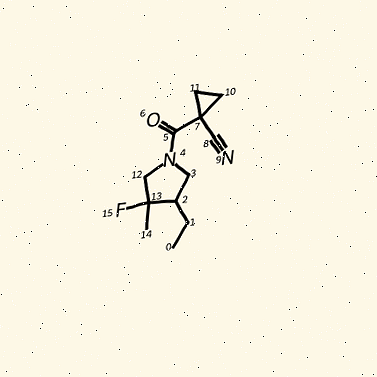 CCC1CN(C(=O)C2(C#N)CC2)CC1(C)F